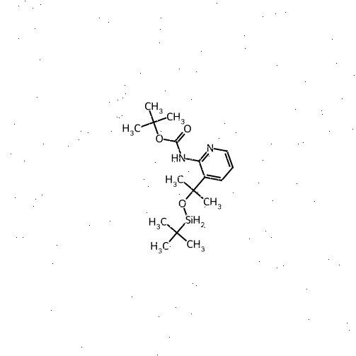 CC(C)(C)OC(=O)Nc1ncccc1C(C)(C)O[SiH2]C(C)(C)C